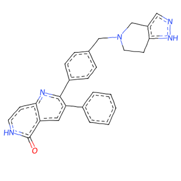 O=c1[nH]ccc2nc(-c3ccc(CN4CCc5[nH]ncc5C4)cc3)c(-c3ccccc3)cc12